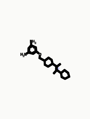 C/C(=C(/C)C1CCC(COc2cc(N)cc(N)c2)CC1)C1CCCCC1